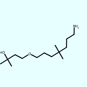 COC(C)(C)CCOCCCC(C)(C)CCCN